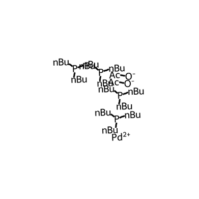 CC(=O)[O-].CC(=O)[O-].CCCCP(CCCC)CCCC.CCCCP(CCCC)CCCC.CCCCP(CCCC)CCCC.CCCCP(CCCC)CCCC.[Pd+2]